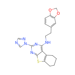 c1ncn(-c2nc(NCCc3ccc4c(c3)OCO4)c3c4c(sc3n2)CCCC4)n1